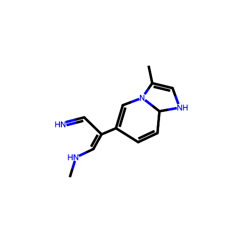 CN/C=C(\C=N)C1=CN2C(C)=CNC2C=C1